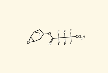 O=C(O)C(F)(F)C(F)(F)C(F)(F)C(=O)OC1CC2CC1C1OC21